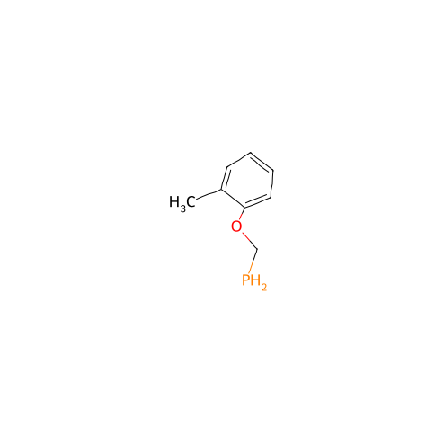 Cc1ccccc1OCP